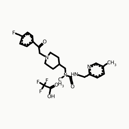 Cc1ccc(CNC(=O)N(C)CC2CCN(CC(=O)c3ccc(F)cc3)CC2)nc1.O=C(O)C(F)(F)F